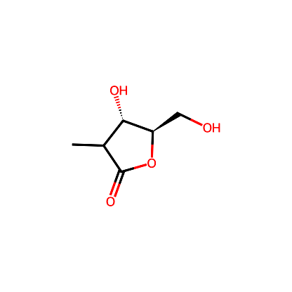 CC1C(=O)O[C@H](CO)[C@H]1O